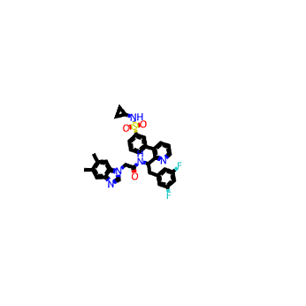 Cc1cc2ncn(CC(=O)NC(Cc3cc(F)cc(F)c3)c3ncccc3-c3cccc(S(=O)(=O)NC4CC4)c3)c2cc1C